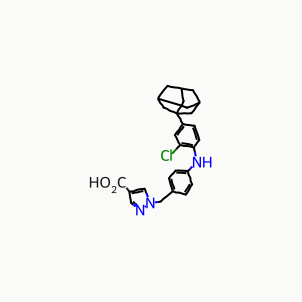 O=C(O)c1cnn(Cc2ccc(Nc3ccc(C45CC6CC(CC(C6)C4)C5)cc3Cl)cc2)c1